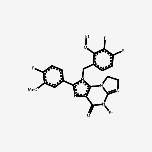 CCOc1c(Cn2c(-c3ccc(F)c(OC)c3)nc3c2N2CCN=C2N(CC)C3=O)ccc(F)c1F